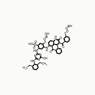 CCc1cccc(CC)c1Nc1nc(O)nc(Nc2cc(Nc3ccc4[nH]c(=O)c(C(=O)c5cccc(SOOO)c5)c5c4c3C(=O)c3ccccc3-5)c(SOOO)cc2S(=O)(=O)O)n1